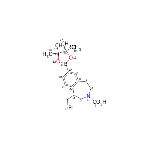 CC(C)CC1CN(C(=O)O)CCc2cc(B3OC(C)(C)C(C)(C)O3)ccc21